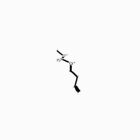 C=CCCO[SiH2]OC